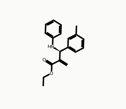 C=C(C(=O)OCC)[C@@H](Nc1ccccc1)c1cccc(C)c1